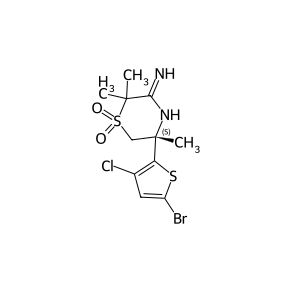 CC1(C)C(=N)N[C@](C)(c2sc(Br)cc2Cl)CS1(=O)=O